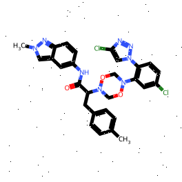 Cc1ccc(CC(C(=O)Nc2ccc3nn(C)cc3c2)N2CON(c3cc(Cl)ccc3-n3cc(Cl)nn3)CO2)cc1